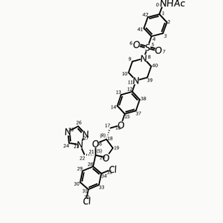 CC(=O)Nc1ccc(S(=O)(=O)N2CCN(c3ccc(OC[C@@H]4CO[C@@](Cn5cncn5)(c5ccc(Cl)cc5Cl)O4)cc3)CC2)cc1